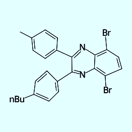 CCCCc1ccc(-c2nc3c(Br)ccc(Br)c3nc2-c2ccc(C)cc2)cc1